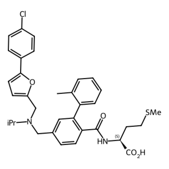 CSCC[C@H](NC(=O)c1ccc(CN(Cc2ccc(-c3ccc(Cl)cc3)o2)C(C)C)cc1-c1ccccc1C)C(=O)O